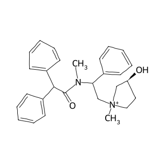 CN(C(=O)C(c1ccccc1)c1ccccc1)C(C[N+]1(C)CC[C@H](O)C1)c1ccccc1